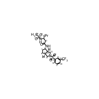 CC(C)[C@@H](CC(=O)N[C@H]1CC[C@@H]2CN(S(=O)(=O)c3cccc(C(F)(F)F)c3)C[C@@H]21)NS(C)(=O)=O